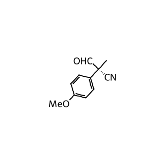 COc1ccc([C@@](C)(C#N)C=O)cc1